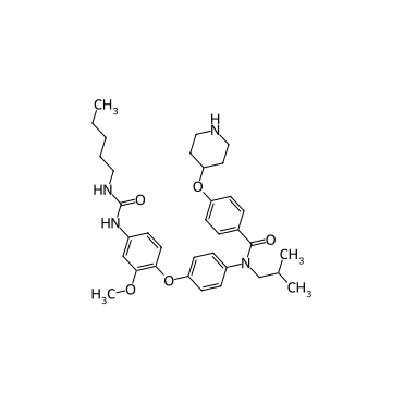 CCCCCNC(=O)Nc1ccc(Oc2ccc(N(CC(C)C)C(=O)c3ccc(OC4CCNCC4)cc3)cc2)c(OC)c1